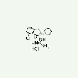 Cl.N=C(N)NC(=O)[C@@H](Cc1cccc(Cl)c1)c1ccccc1